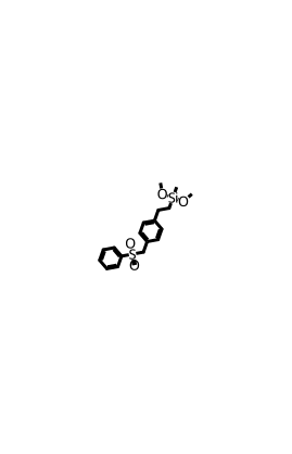 CO[Si](C)(CCc1ccc(CS(=O)(=O)c2ccccc2)cc1)OC